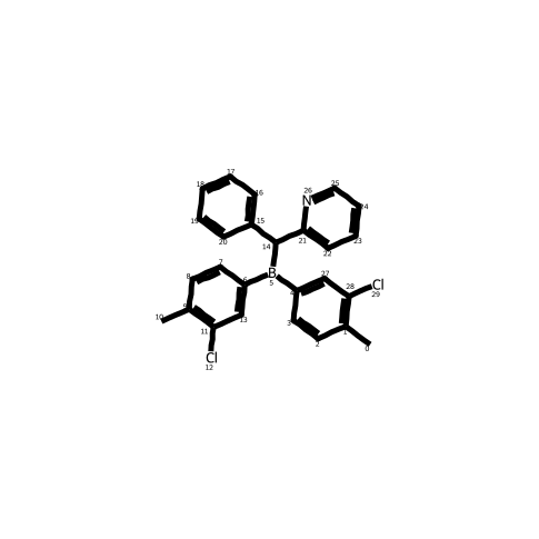 Cc1ccc(B(c2ccc(C)c(Cl)c2)C(c2ccccc2)c2ccccn2)cc1Cl